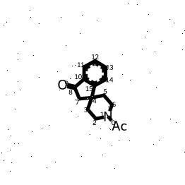 CC(=O)N1CCC2(CC1)CC(=O)c1ccccc12